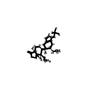 C=C1CC[C@H]2[C@H](CN)[C@@H]([C@@]3(C)Cc4cnn(CC(C)(C)C)c4C[C@@H]3CO)CC[C@]12C